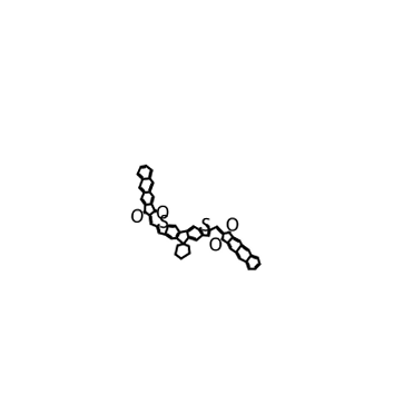 O=C1C(=Cc2cc3cc4c(cc3s2)-c2cc3sc(C=C5C(=O)c6cc7cc8ccccc8cc7cc6C5=O)cc3cc2C42CCCCC2)C(=O)c2cc3cc4ccccc4cc3cc21